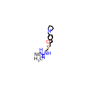 C/N=C(\NC#N)NCCSCc1cc2ccc(CN3CCCCC3)cc2o1